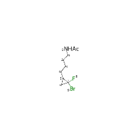 CC(=O)NCCCCC1CC1(F)Br